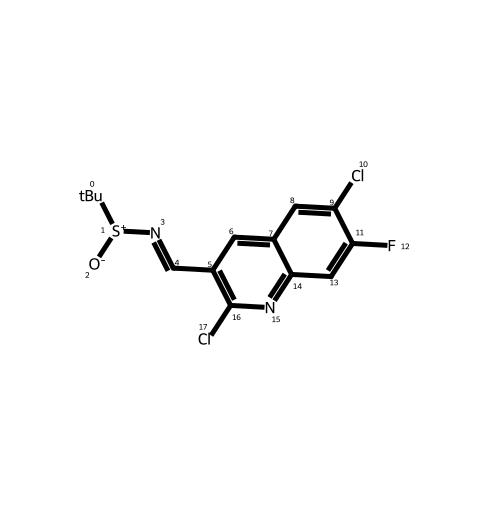 CC(C)(C)[S+]([O-])N=Cc1cc2cc(Cl)c(F)cc2nc1Cl